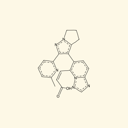 Cc1cccc(-c2nn3c(c2-c2ccc4ncnn4c2C=CC(=O)O)CCC3)n1